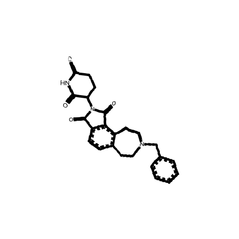 O=C1CCC(N2C(=O)c3ccc4c(c3C2=O)CCN(Cc2ccccc2)CC4)C(=O)N1